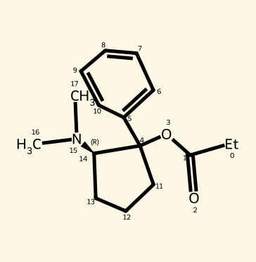 CCC(=O)OC1(c2ccccc2)CCC[C@H]1N(C)C